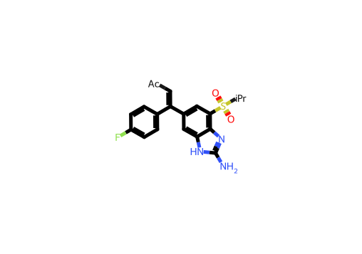 CC(=O)C=C(c1ccc(F)cc1)c1cc(S(=O)(=O)C(C)C)c2nc(N)[nH]c2c1